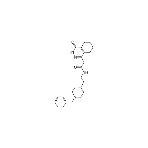 O=C(Cc1n[nH]c(=O)c2c1CCCC2)NCCC1CCN(Cc2ccccc2)CC1